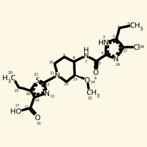 CCc1[nH]c(C(=O)NC2CCN(c3nc(C(=O)O)c(CC)s3)C[C@@H]2OC)nc1Cl